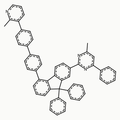 Cc1cc(-c2ccccc2)nc(-c2ccc3c(c2)C(c2ccccc2)(c2ccccc2)c2cccc(-c4ccc(-c5ccc(-c6cccnc6C)cc5)cc4)c2-3)n1